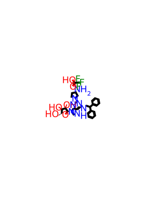 N[C@H]1CCN(c2nc(NCC(c3ccccc3)c3ccccc3)c3ncn([C@@H]4O[C@H](CO)[C@@H](O)[C@H]4O)c3n2)C1.O=C(O)C(F)(F)F